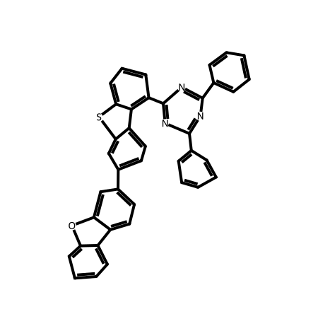 c1ccc(-c2nc(-c3ccccc3)nc(-c3cccc4sc5cc(-c6ccc7c(c6)oc6ccccc67)ccc5c34)n2)cc1